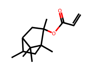 C=CC(=O)OC1(C)CC2C(C)CC1(C)C2(C)C